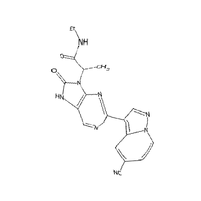 CCNC(=O)C(C)n1c(=O)[nH]c2cnc(-c3cnn4ccc(C#N)cc34)nc21